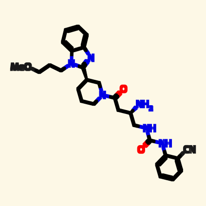 COCCCn1c([C@@H]2CCCN(C(=O)C[C@@H](N)CNC(=O)Nc3ccccc3C#N)C2)nc2ccccc21